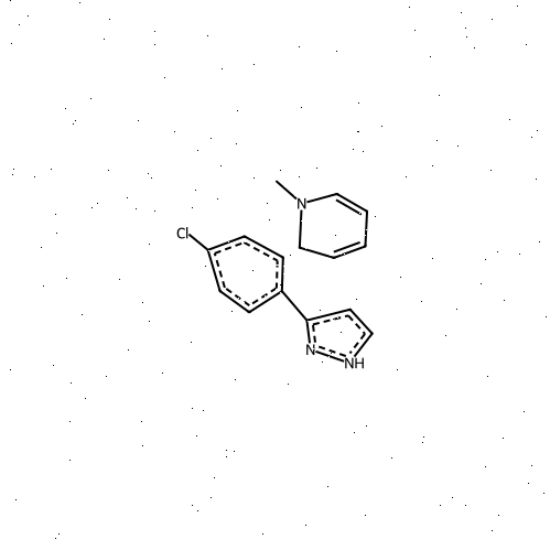 CN1C=CC=CC1.Clc1ccc(-c2cc[nH]n2)cc1